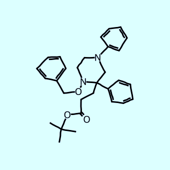 CC(C)(C)OC(=O)CCC1(c2ccccc2)CN(c2ccccc2)CCN1OCc1ccccc1